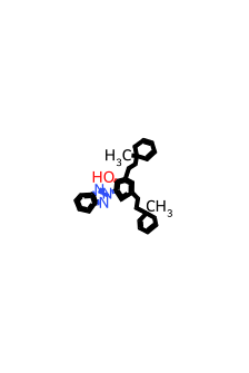 CC1(CCc2cc(CCC3(C)C=CC=CC3)c(O)c(-n3nc4ccccc4n3)c2)C=CC=CC1